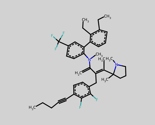 C=C(/C(Cc1ccc(C#CCCC)c(F)c1F)=C(\C)C1(C)CCCN1C)N(C)c1ccc(C(F)(F)F)cc1-c1cccc(CC)c1CC